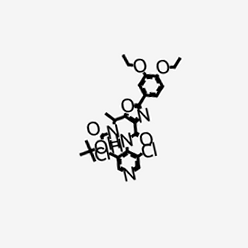 CCOc1ccc(-c2nc(C(=O)Nc3c(Cl)cncc3Cl)c(C(C)NC(=O)OC(C)(C)C)o2)cc1OCC